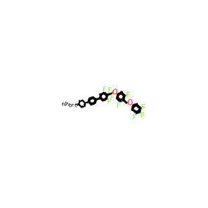 CCCCCC1CCC(c2ccc(-c3cc(F)c(C(F)(F)Oc4cc(F)c(COc5cc(F)c(F)c(F)c5)c(F)c4)c(F)c3)cc2)CC1